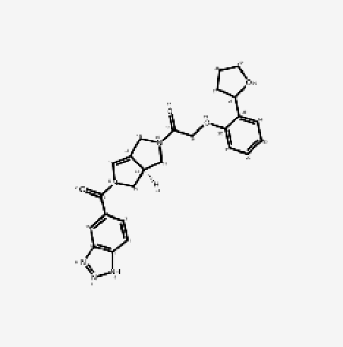 O=C(c1ccc2[nH]nnc2c1)N1C=C2CN(C(=O)COc3ccccc3C3CCCO3)C[C@H]2C1